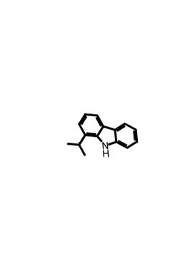 C[C](C)c1cccc2c1[nH]c1ccccc12